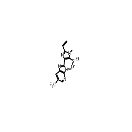 C=Cc1nc(-c2nc3cc(C(F)(F)F)cnc3n2C)c([S+]([O-])CC)n1C